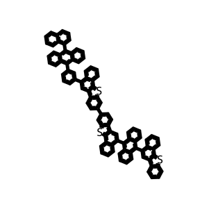 c1cc(-c2c3ccccc3c(-c3cccc4ccccc34)c3ccccc23)cc(-c2cc3c4ccc(-c5ccc6c(c5)sc5c7ccccc7c(-c7c8ccccc8c(-c8cc9c%10ccccc%10sc9c9ccccc89)c8ccccc78)cc65)cc4sc3c3ccccc23)c1